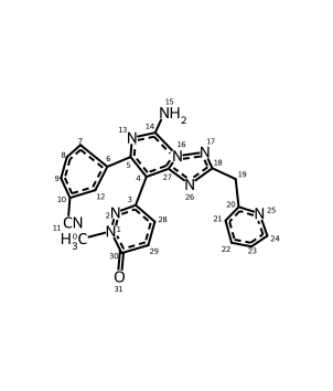 Cn1nc(-c2c(-c3cccc(C#N)c3)nc(N)n3nc(Cc4ccccn4)nc23)ccc1=O